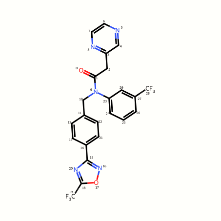 O=C(Cc1cnccn1)N(Cc1ccc(-c2noc(C(F)(F)F)n2)cc1)c1cccc(C(F)(F)F)c1